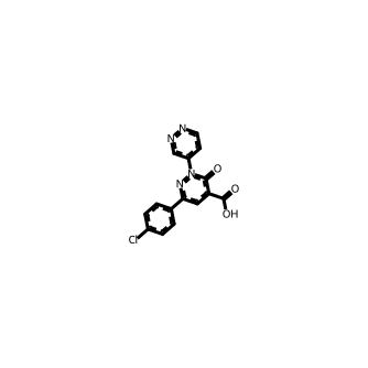 O=C(O)c1cc(-c2ccc(Cl)cc2)nn(-c2ccnnc2)c1=O